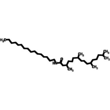 CCCCCCCCCCCCCCCCNC(=O)CC(C)CCCC(C)CCCC(C)CCCC(C)C